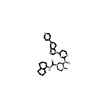 CCN(c1nccc(-n2cnc3cc(-c4ccncc4)ccc32)n1)C1CN(C(=O)Nc2cccc3ccccc23)CCN1C